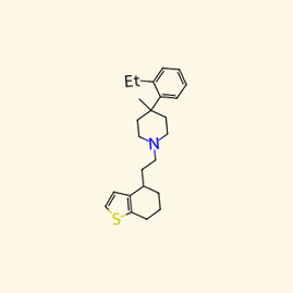 CCc1ccccc1C1(C)CCN(CCC2CCCc3sccc32)CC1